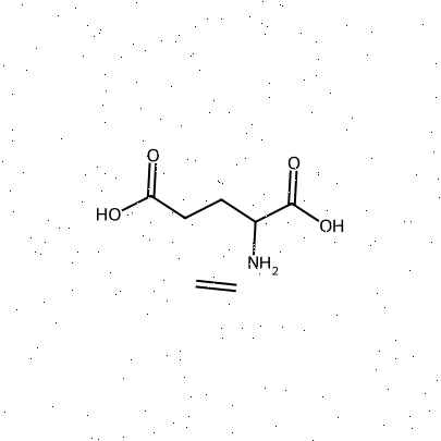 C=C.NC(CCC(=O)O)C(=O)O